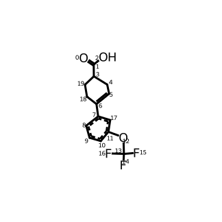 O=C(O)C1CC=C(c2cccc(OC(F)(F)F)c2)CC1